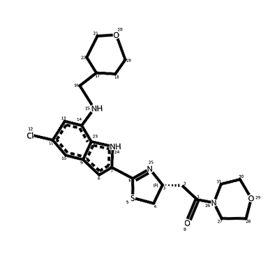 O=C(C[C@@H]1CSC(c2cc3cc(Cl)cc(NCC4CCOCC4)c3[nH]2)=N1)N1CCOCC1